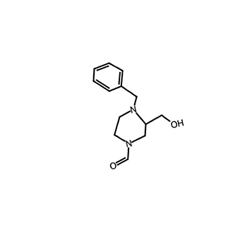 O=CN1CCN(Cc2ccccc2)C(CO)C1